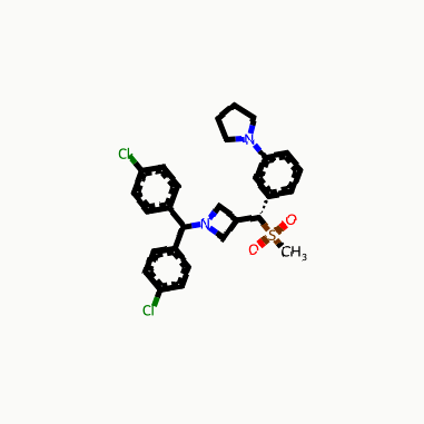 CS(=O)(=O)[C@@H](c1cccc(N2CCCC2)c1)C1CN(C(c2ccc(Cl)cc2)c2ccc(Cl)cc2)C1